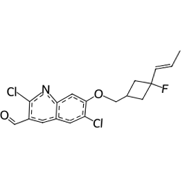 C/C=C/C1(F)CC(COc2cc3nc(Cl)c(C=O)cc3cc2Cl)C1